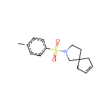 Cc1ccc(S(=O)(=O)N2CCC3(CC=CC3)C2)cc1